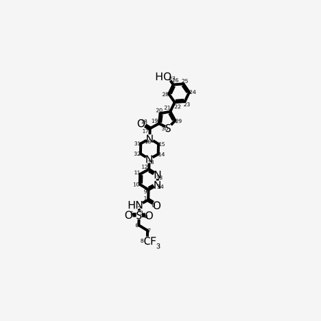 O=C(NS(=O)(=O)CCC(F)(F)F)c1ccc(N2CCN(C(=O)c3cc(-c4cccc(O)c4)cs3)CC2)nn1